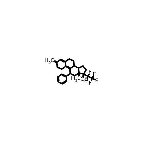 C=C1C=C2CCC3C(=C2CC1)C(c1ccccc1)CC1(C)C3CCC1(O)C(F)(F)C(F)(F)F